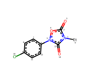 CCn1c(=O)on(-c2ccc(Cl)cc2)c1=O